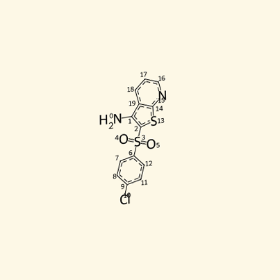 Nc1c(S(=O)(=O)c2ccc(Cl)cc2)sc2ncccc12